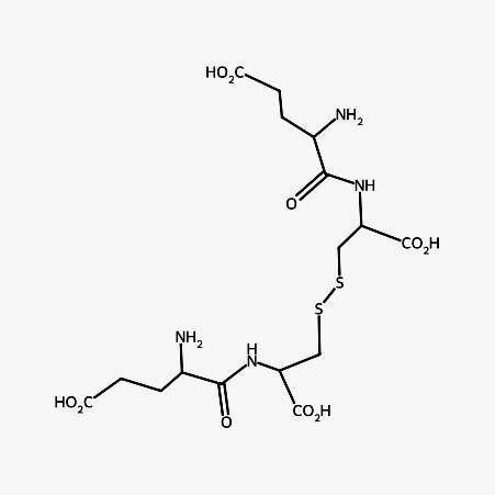 NC(CCC(=O)O)C(=O)NC(CSSCC(NC(=O)C(N)CCC(=O)O)C(=O)O)C(=O)O